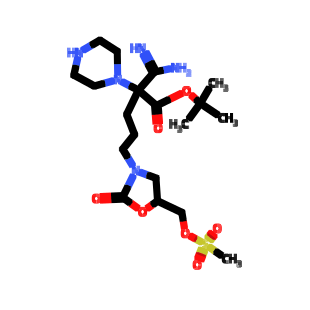 CC(C)(C)OC(=O)C(CCCN1CC(COS(C)(=O)=O)OC1=O)(C(=N)N)N1CCNCC1